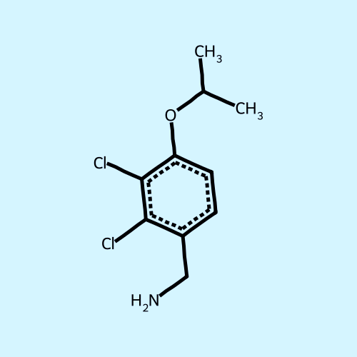 CC(C)Oc1ccc(CN)c(Cl)c1Cl